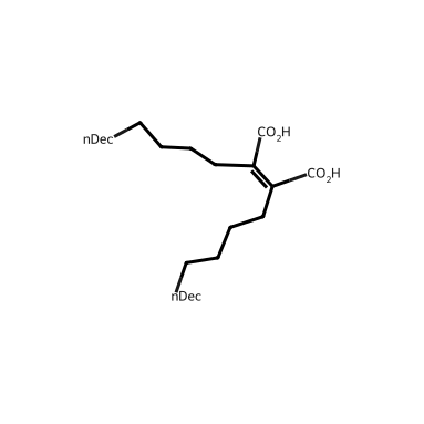 CCCCCCCCCCCCCCC(C(=O)O)=C(CCCCCCCCCCCCCC)C(=O)O